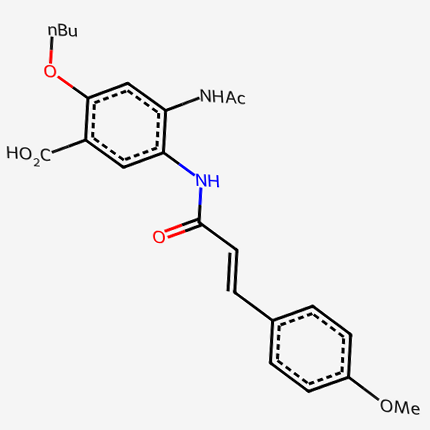 CCCCOc1cc(NC(C)=O)c(NC(=O)C=Cc2ccc(OC)cc2)cc1C(=O)O